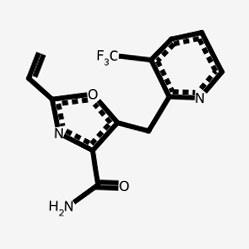 C=Cc1nc(C(N)=O)c(Cc2ncccc2C(F)(F)F)o1